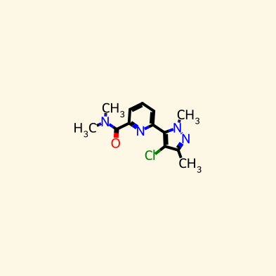 Cc1nn(C)c(-c2cccc(C(=O)N(C)C)n2)c1Cl